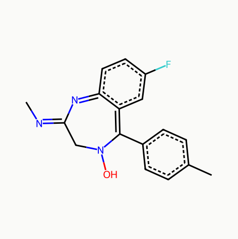 C/N=C1/CN(O)C(c2ccc(C)cc2)=c2cc(F)ccc2=N1